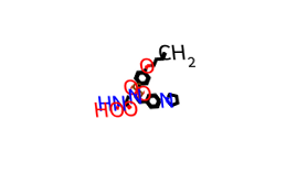 C=CCCOc1ccc(S(=O)(=O)N(CC(=O)NO)Cc2ccc(N3CCCC3)cc2)cc1